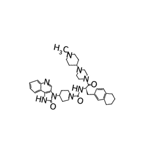 CN1CCC(N2CCN(C(=O)[C@@H](Cc3ccc4c(c3)CCCC4)NC(=O)N3CCC(n4c(=O)[nH]c5c6ccccc6ncc54)CC3)CC2)CC1